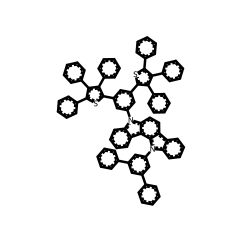 c1ccc(-c2cc(-c3ccccc3)cc(-n3c4ccccc4c4ccc5c(c6ccccc6n5-c5cc(-c6sc(-c7ccccc7)c(-c7ccccc7)c6-c6ccccc6)cc(-c6sc(-c7ccccc7)c(-c7ccccc7)c6-c6ccccc6)c5)c43)c2)cc1